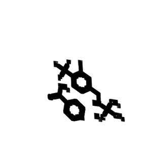 CC(C)(C)NCc1ccc(C(F)(F)F)c(F)c1.NC(=O)c1ccncc1